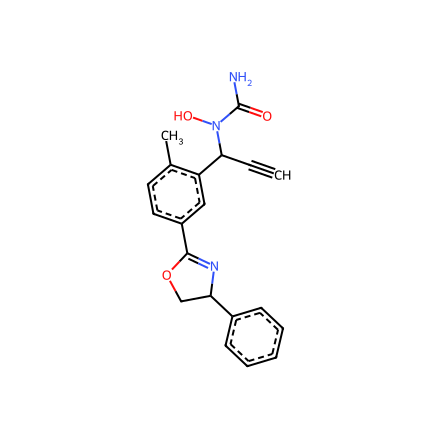 C#CC(c1cc(C2=NC(c3ccccc3)CO2)ccc1C)N(O)C(N)=O